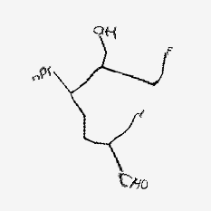 CCCC(CC(I)C=O)C(O)CF